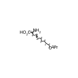 CC(C)OCCCCCSSCC(N)C(=O)O